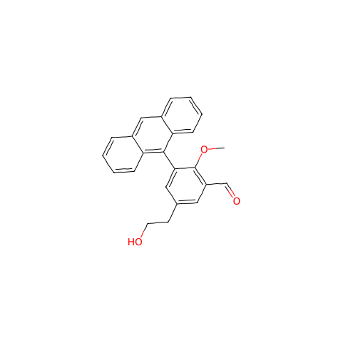 COc1c(C=O)cc(CCO)cc1-c1c2ccccc2cc2ccccc12